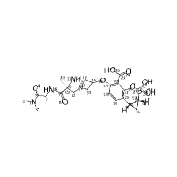 CN(C)C(=O)CNC(=O)[C@@](C)(N)CN1CC(Oc2ccc3c(c2C(=O)O)O[B-](O)(O)[C@@H]2C[C@H]32)C1